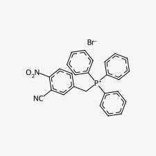 N#Cc1cc(C[P+](c2ccccc2)(c2ccccc2)c2ccccc2)ccc1[N+](=O)[O-].[Br-]